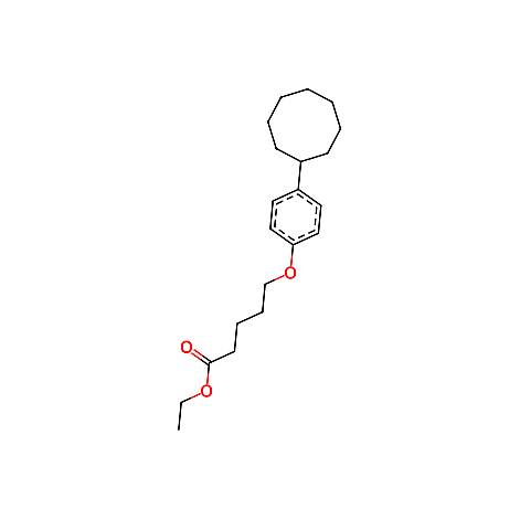 CCOC(=O)CCCCOc1ccc(C2CCCCCCC2)cc1